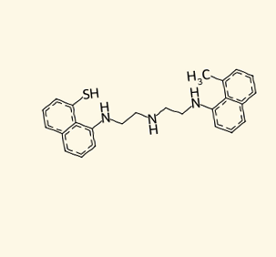 Cc1cccc2cccc(NCCNCCNc3cccc4cccc(S)c34)c12